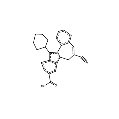 N#CC1=Cc2ccccc2-c2c(C3CCCCC3)c3ccc(C(=O)O)cc3n2C1